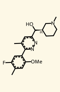 COc1cc(C)c(F)cc1-c1nnc(C(O)[C@@H]2CCCN(C)C2)cc1C